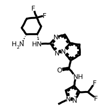 Cn1cc(NC(=O)c2ccc3cnc(N[C@H]4CC(F)(F)CC[C@H]4N)nn23)c(C(F)F)n1